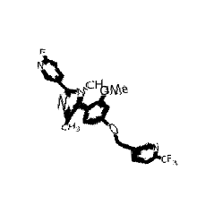 COc1cc(OCc2ccc(C(F)(F)F)nc2)ccc1-c1c(C)nc(-c2ccc(F)nc2)n1C